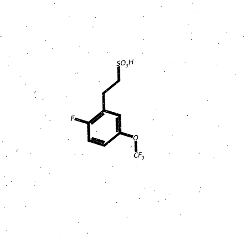 O=S(=O)(O)CCc1cc(OC(F)(F)F)ccc1F